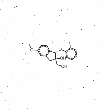 COc1ccc2c(c1)C[C@@](O)(CO)[C@H]2Oc1ccccc1C